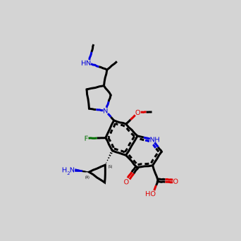 CNC(C)C1CCN(c2c(F)c([C@@H]3C[C@H]3N)c3c(=O)c(C(=O)O)c[nH]c3c2OC)C1